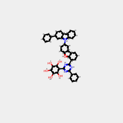 Oc1c(O)c(O)c(-c2nc(-c3ccccc3)nc(-c3cccc4c3oc3ccc(-n5c6ccccc6c6ccc(-c7ccccc7)cc65)cc34)n2)c(O)c1O